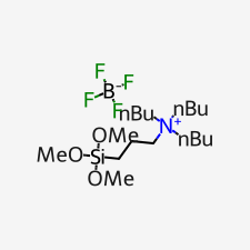 CCCC[N+](CCCC)(CCCC)CCC[Si](OC)(OC)OC.F[B-](F)(F)F